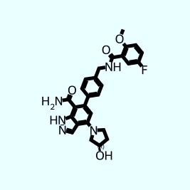 COc1ccc(F)cc1C(=O)NCc1ccc(-c2cc(N3CC[C@@H](O)C3)c3cn[nH]c3c2C(N)=O)cc1